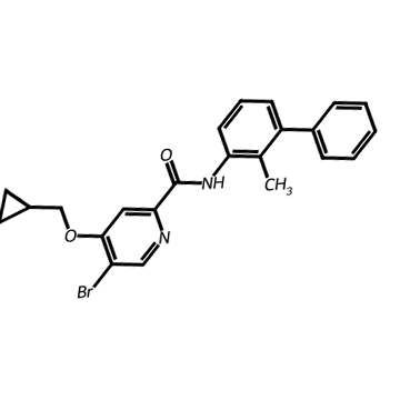 Cc1c(NC(=O)c2cc(OCC3CC3)c(Br)cn2)cccc1-c1ccccc1